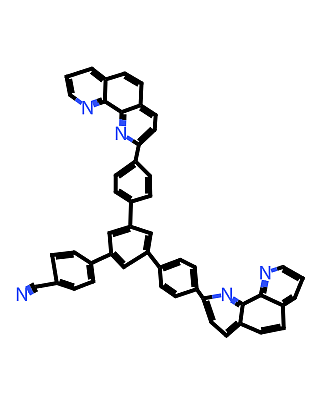 N#Cc1ccc(-c2cc(-c3ccc(-c4ccc5ccc6cccnc6c5n4)cc3)cc(-c3ccc(-c4ccc5ccc6cccnc6c5n4)cc3)c2)cc1